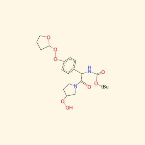 CC(C)(C)OC(=O)NC(C(=O)N1CCC(OO)C1)c1ccc(OOC2CCCO2)cc1